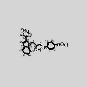 CCCCCCCCc1ccc(OCC(O)Cn2c(C(=O)OC(C)(C)C)cc3ccccc32)cc1